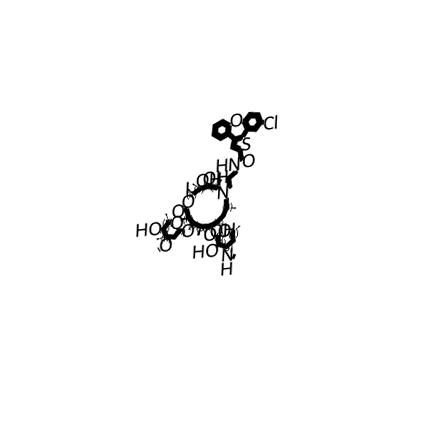 CN[C@H]1C[C@@H](C)O[C@@H](O[C@@H]2[C@@H](C)[C@H](O[C@H]3C[C@@](C)(OC)[C@@H](O)[C@H](C)O3)[C@@H](C)C(=O)O[C@H](I)[C@@](C)(O)[C@H](O)[C@@H](C)N(CCCNC(=O)c3cc4c(s3)-c3cc(Cl)ccc3Oc3ccccc3-4)C[C@H](C)C[C@@]2(C)O)[C@@H]1O